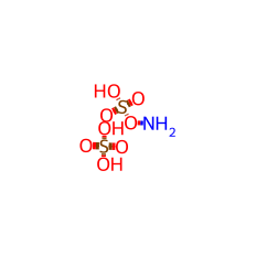 NOS(=O)(=O)O.O=S(=O)(O)O